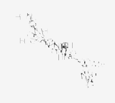 COc1cc2c(cc1OCCCC(=O)Nc1cc(C(=O)Nc3ccc(-c4cc(C)c(C(=O)Nc5ccc(N)cc5)s4)nc3)n(C)c1)N=CC1CCCCN1C2=O